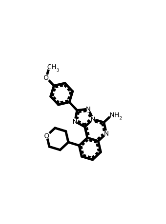 COc1ccc(-c2nc3c4c(C5CCOCC5)cccc4nc(N)n3n2)cc1